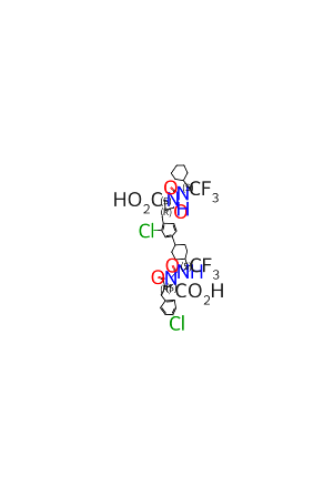 O=C(O)[C@@H]1[C@@H](Cc2ccc(Cl)cc2)C(=O)N1C(=O)N[C@@H](C1CCC(c2ccc(C[C@H]3C(=O)N(C(=O)N[C@@H](C4CCCCC4)C(F)(F)F)[C@@H]3C(=O)O)c(Cl)c2)CC1)C(F)(F)F